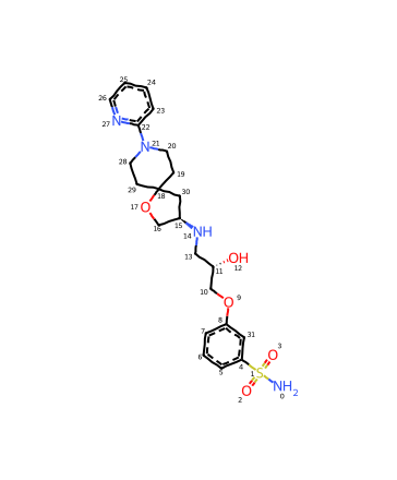 NS(=O)(=O)c1cccc(OC[C@@H](O)CN[C@H]2COC3(CCN(c4ccccn4)CC3)C2)c1